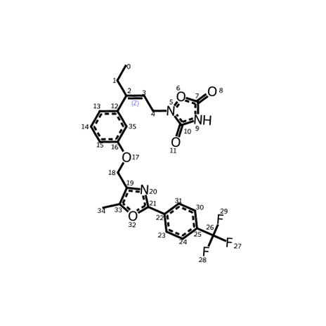 CC/C(=C/Cn1oc(=O)[nH]c1=O)c1cccc(OCc2nc(-c3ccc(C(F)(F)F)cc3)oc2C)c1